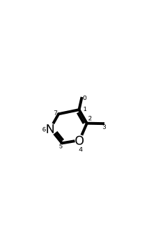 CC1=C(C)OC=NC1